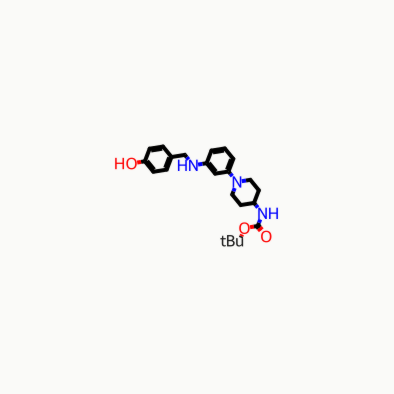 CC(C)(C)OC(=O)NC1CCN(c2cccc(NCc3ccc(O)cc3)c2)CC1